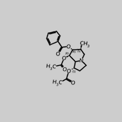 CC(=O)O[C@H]1CCN2C[C@H](C)[C@@H](OC(=O)c3ccccc3)[C@H](OC(C)=O)C12